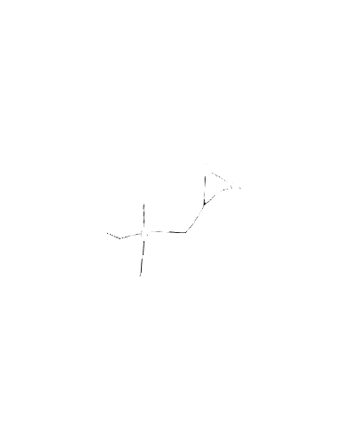 C[N+](C)(C)CC1OO1